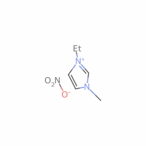 CC[n+]1ccn(C)c1.O=[N+]([O-])[O-]